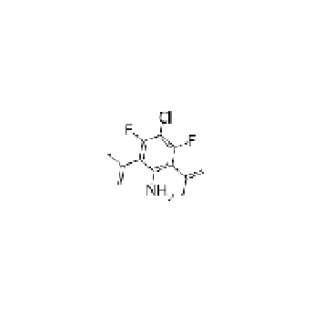 C=C(C)c1c(N)c(C(=C)C)c(F)c(Cl)c1F